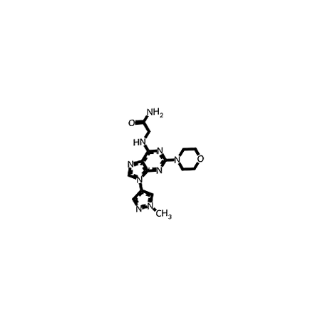 Cn1cc(-n2cnc3c(NCC(N)=O)nc(N4CCOCC4)nc32)cn1